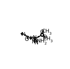 COc1cc(C#Cc2nn(C3CN(C(=O)/C=C/CN4CCC4)C3)c3ncnc(N)c23)cc(OC)c1